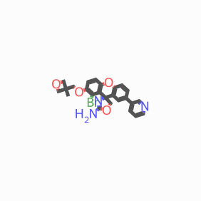 CC1(COc2ccc3c(c2Br)C2(COC(N)=N2)c2cc(-c4cccnc4)ccc2O3)COC1